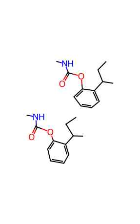 CCC(C)c1ccccc1OC(=O)NC.CCC(C)c1ccccc1OC(=O)NC